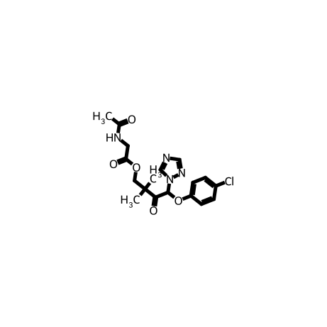 CC(=O)NCC(=O)OCC(C)(C)C(=O)C(Oc1ccc(Cl)cc1)n1cncn1